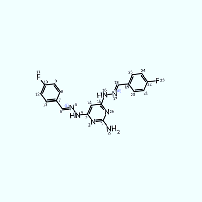 Nc1nc(N/N=C/c2ccc(F)cc2)cc(N/N=C/c2ccc(F)cc2)n1